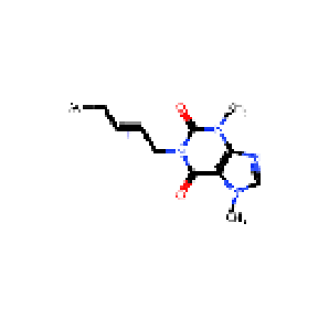 CC(=O)C/C=C/Cn1c(=O)c2c(ncn2C)n(C)c1=O